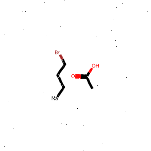 CC(=O)O.[Na][CH2]CCBr